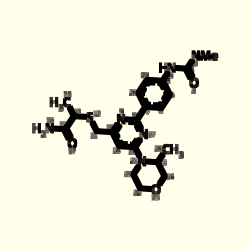 CNC(=O)Nc1ccc(-c2nc(CSC(C)C(N)=O)cc(N3CCOCC3C)n2)cc1